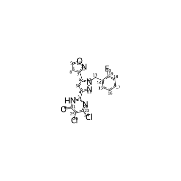 O=c1[nH]c(-c2cc(-c3ccon3)n(Cc3ccccc3F)n2)nc(Cl)c1Cl